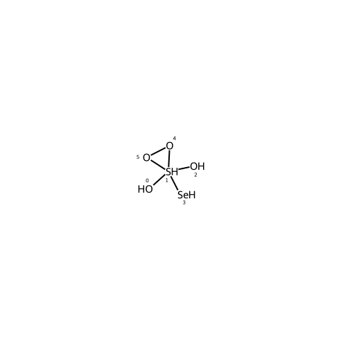 O[SH]1(O)([SeH])OO1